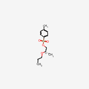 CCCO[C@@H](C)COS(=O)(=O)c1ccc(C)cc1